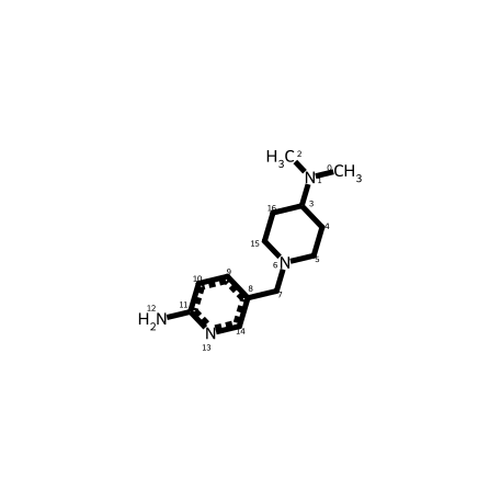 CN(C)C1CCN(Cc2ccc(N)nc2)CC1